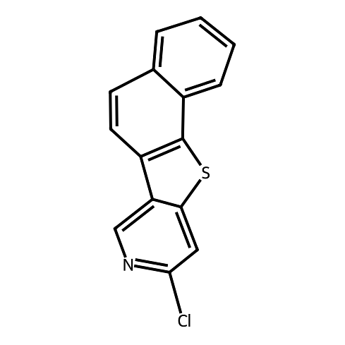 Clc1cc2sc3c4ccccc4ccc3c2cn1